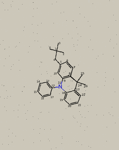 CC(C)(C)Cc1ccc2c(c1)N(c1ccccc1)c1ccccc1C2(C)C